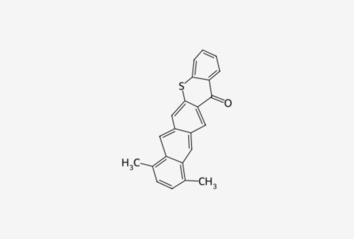 Cc1ccc(C)c2cc3cc4c(=O)c5ccccc5sc4cc3cc12